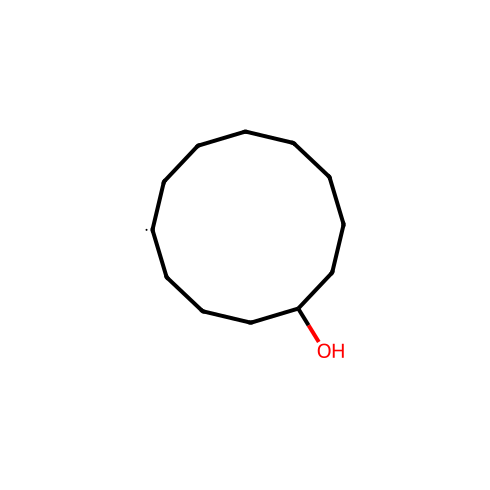 OC1CCC[CH]CCCCCCC1